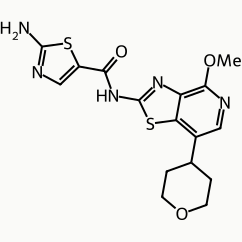 COc1ncc(C2CCOCC2)c2sc(NC(=O)c3cnc(N)s3)nc12